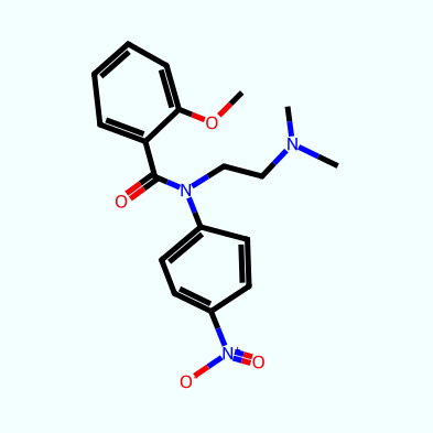 COc1ccccc1C(=O)N(CCN(C)C)c1ccc([N+](=O)[O-])cc1